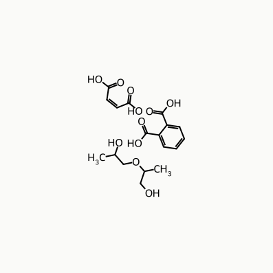 CC(O)COC(C)CO.O=C(O)/C=C\C(=O)O.O=C(O)c1ccccc1C(=O)O